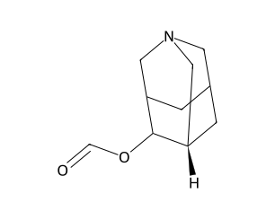 O=COC1C2CC3C[C@H]1CN(C3)C2